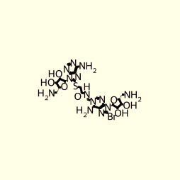 NC[C@H]1O[C@@H](n2c(Br)nc3c2N=CN(CNC(=O)CSc2nc4c(N)ncnc4n2[C@@H]2O[C@H](CN)C(O)C2O)C3N)C(O)C1O